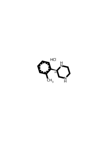 Cc1ccccc1[C@@H]1CNCCN1.Cl